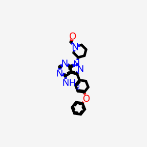 Nc1ncnc2c1c(C1=CC=C(Oc3ccccc3)CC1)nn2C1CCCN(C=O)C1